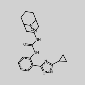 CN1C2CCCC1CC(NC(=O)Nc1ccccc1-c1nc(C3CC3)no1)C2